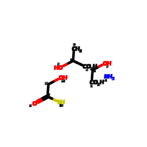 CC(O)C(=O)O.N.O=C(O)CO.O=C(S)CO